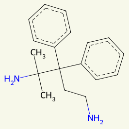 CC(C)(N)C(CCN)(c1ccccc1)c1ccccc1